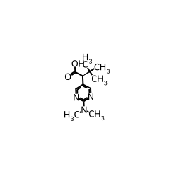 CN(C)c1ncc([C@@H](C(=O)O)C(C)(C)C)cn1